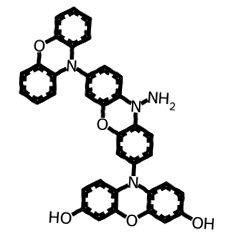 NN1c2ccc(N3c4ccccc4Oc4ccccc43)cc2Oc2cc(N3c4ccc(O)cc4Oc4cc(O)ccc43)ccc21